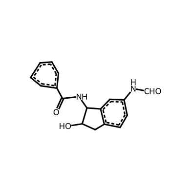 O=CNc1ccc2c(c1)C(NC(=O)c1ccccc1)C(O)C2